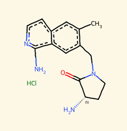 Cc1cc2ccnc(N)c2cc1CN1CC[C@H](N)C1=O.Cl